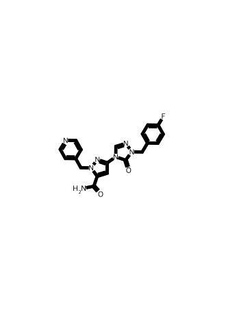 NC(=O)c1cc(-n2cnn(Cc3ccc(F)cc3)c2=O)nn1Cc1ccncc1